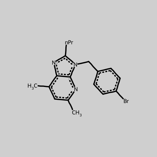 CCCc1nc2c(C)cc(C)nc2n1Cc1ccc(Br)cc1